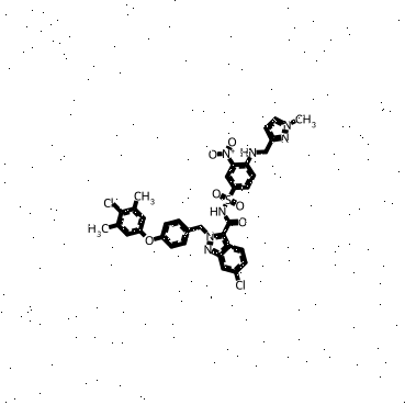 Cc1cc(Oc2ccc(Cn3nc4cc(Cl)ccc4c3C(=O)NS(=O)(=O)c3ccc(NCc4ccn(C)n4)c([N+](=O)[O-])c3)cc2)cc(C)c1Cl